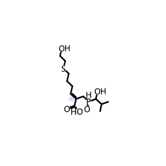 CC(C)C(O)[PH](=O)C/C(=C\CCCSCCO)C(=O)O